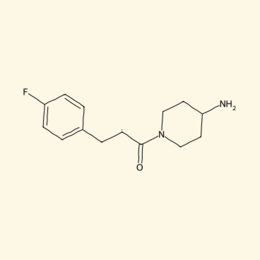 NC1CCN(C(=O)[CH]Cc2ccc(F)cc2)CC1